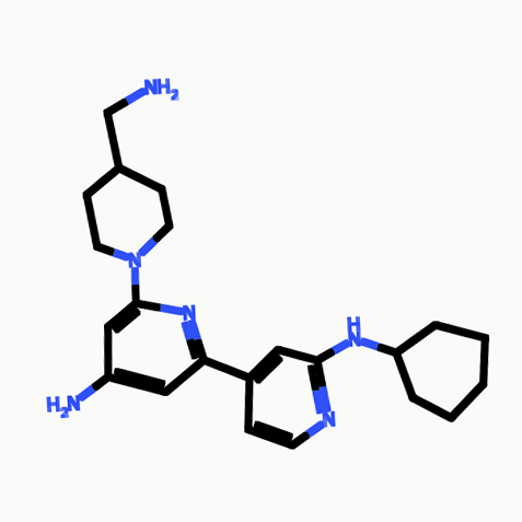 NCC1CCN(c2cc(N)cc(-c3ccnc(NC4CCCCC4)c3)n2)CC1